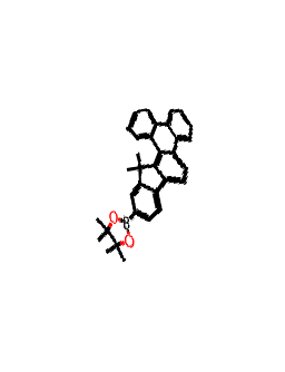 CC1(C)c2cc(B3OC(C)(C)C(C)(C)O3)ccc2-c2ccc3c4ccccc4c4ccccc4c3c21